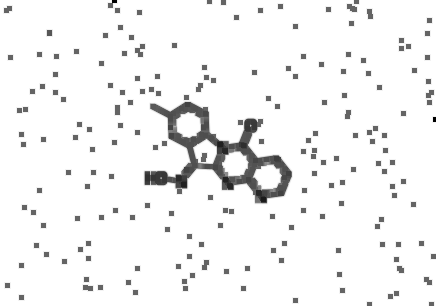 Cc1ccc2c(c1)/C(=N\O)c1nc3ncccc3c(=O)n1-2